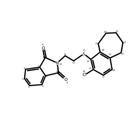 O=C1c2ccccc2C(=O)N1CCSc1c(Cl)ccc2c1CCCCC2